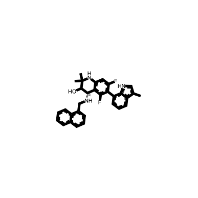 Cc1c[nH]c2c(-c3c(F)cc4c(c3F)[C@H](NCc3cccc5ccccc35)C(O)C(C)(C)N4)cccc12